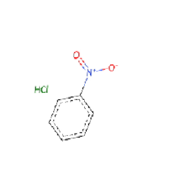 Cl.O=[N+]([O-])c1ccccc1